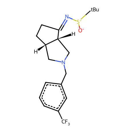 CC(C)(C)[S+]([O-])/N=C1/CC[C@H]2CN(Cc3cccc(C(F)(F)F)c3)C[C@@H]12